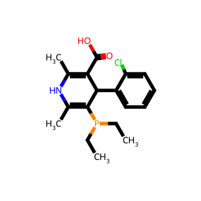 CCP(CC)C1=C(C)NC(C)=C(C(=O)O)C1c1ccccc1Cl